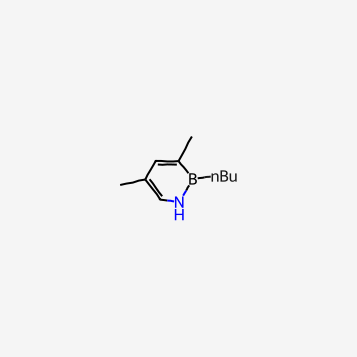 CCCCB1NC=C(C)C=C1C